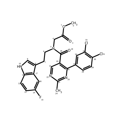 COC(=O)CN(CCc1c[nH]c2ccc(F)cc12)C(=O)c1cnc(C)nc1-c1ccc(Cl)c(Cl)c1